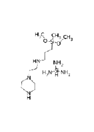 CO[Si](C)(CCCNCCN1CCNCC1)OC.N[SiH](N)N